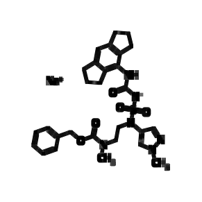 CN(CCN(c1cnn(C)c1)S(=O)(=O)[N-]C(=O)Nc1c2c(cc3c1CCC3)CCC2)C(=O)OCc1ccccc1.[Na+]